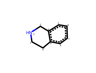 [C]1CNCc2ccccc21